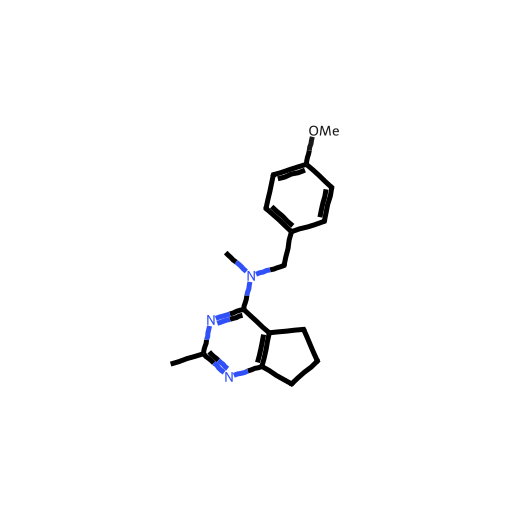 COc1ccc(CN(C)c2nc(C)nc3c2CCC3)cc1